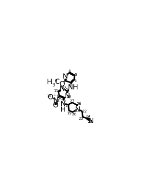 COc1ncccc1Nc1ncc([N+](=O)[O-])c(NC2CCN(CCC#N)CC2)n1